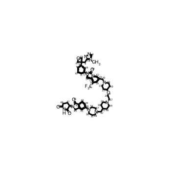 Cn1cnnc1CC1(c2cccc(-n3cc4c(C(F)(F)F)cc(CN5CCC(OCCN6CCC(CN7CCCN(c8ccc9c(c8)CN(C8CCC(=O)NC8=O)C9=O)CC7)CC6)CC5)cn4c3=O)c2)COC1